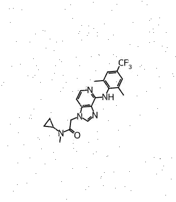 Cc1cc(C(F)(F)F)cc(C)c1Nc1nccc2c1ncn2CC(=O)N(C)C1CC1